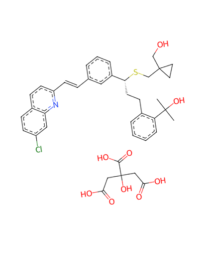 CC(C)(O)c1ccccc1CC[C@@H](SCC1(CO)CC1)c1cccc(C=Cc2ccc3ccc(Cl)cc3n2)c1.O=C(O)CC(O)(CC(=O)O)C(=O)O